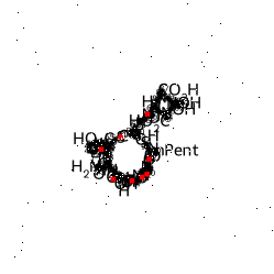 CCCCCC(=O)N[C@@H]1COCN2CCC[C@H]2C(=O)N2CCC[C@H]2C(=O)N[C@@H]([C@@H](C)O)C(=O)N[C@@H](CCC(N)=O)C(=O)N[C@@H](Cc2cccc3ccccc23)C(=O)N[C@H](C(=O)O)CSCc2cc(CSCCNC(=O)CN3CCN(CC(=O)O)CCN(CC(O)O)CCN(CC(=O)O)CC3)cc(c2)CSC1